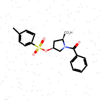 Cc1ccc(S(=O)(=O)O[C@H]2C[C@@H](C(=O)O)N(C(=O)c3ccccc3)C2)cc1